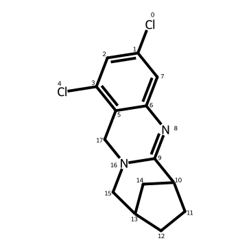 Clc1cc(Cl)c2c(c1)N=C1C3CCC(C3)CN1C2